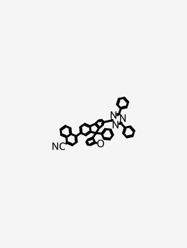 N#Cc1ccc(-c2ccc3c(c2)C2(c4ccccc4Oc4ccccc42)c2cc(-c4nc(-c5ccccc5)nc(-c5ccccc5)n4)ccc2-3)c2ccccc12